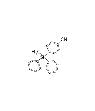 C[Si](c1ccccc1)(c1ccccc1)c1ccc(C#N)cc1